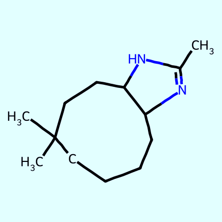 CC1=NC2CCCCC(C)(C)CCC2N1